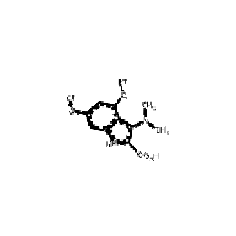 CCOc1cc(OC(C)C)c2c(N(C)C)c(C(=O)O)[nH]c2c1